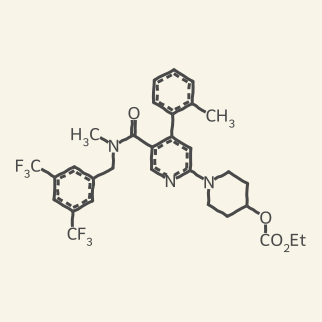 CCOC(=O)OC1CCN(c2cc(-c3ccccc3C)c(C(=O)N(C)Cc3cc(C(F)(F)F)cc(C(F)(F)F)c3)cn2)CC1